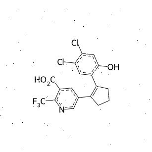 O=C(O)c1cc(C2=C(c3cc(Cl)c(Cl)cc3O)CCC2)cnc1C(F)(F)F